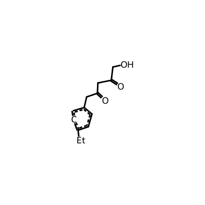 CCc1ccc(CC(=O)CC(=O)CO)cc1